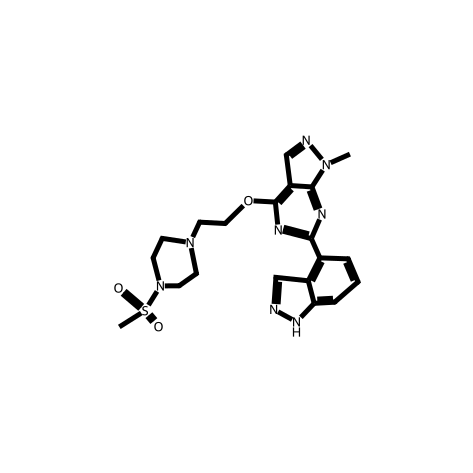 Cn1ncc2c(OCCN3CCN(S(C)(=O)=O)CC3)nc(-c3cccc4[nH]ncc34)nc21